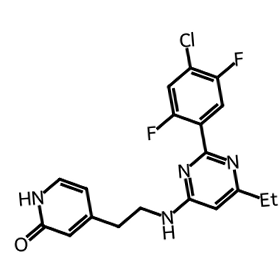 CCc1cc(NCCc2cc[nH]c(=O)c2)nc(-c2cc(F)c(Cl)cc2F)n1